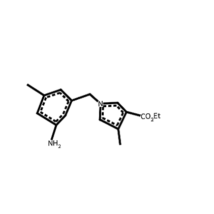 CCOC(=O)c1cn(Cc2cc(C)cc(N)c2)cc1C